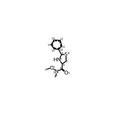 CON(C)C(=O)C1CSC(c2ccccc2)N1